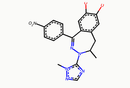 CC1Cc2cc3c(cc2C(c2ccc([N+](=O)[O-])cc2)=NN1c1ncnn1C)OCO3